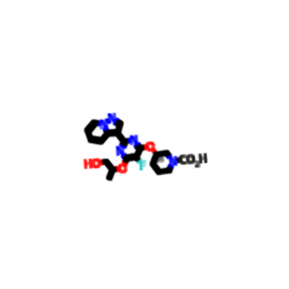 CC(CO)Oc1nc(-c2cnn3ccccc23)nc(O[C@@H]2CCCN(C(=O)O)C2)c1F